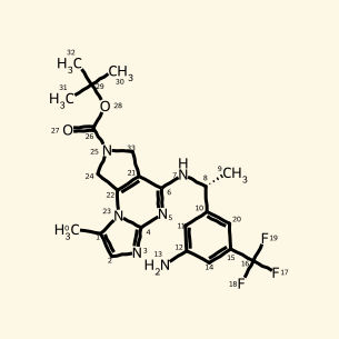 Cc1cnc2nc(N[C@H](C)c3cc(N)cc(C(F)(F)F)c3)c3c(n12)CN(C(=O)OC(C)(C)C)C3